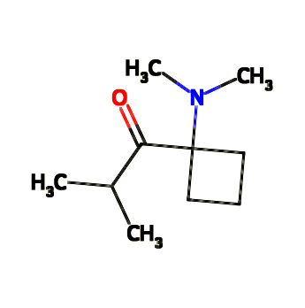 CC(C)C(=O)C1(N(C)C)CCC1